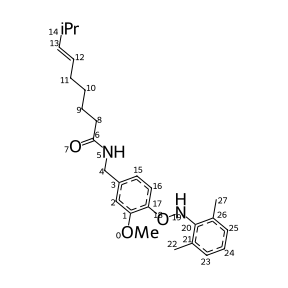 COc1cc(CNC(=O)CCCC/C=C/C(C)C)ccc1ONc1c(C)cccc1C